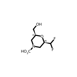 O=C(O)N1C[C@@H](CO)O[C@@H](C(F)F)C1